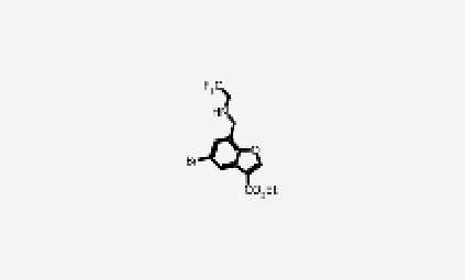 CCOC(=O)c1coc2c(CNCC(F)(F)F)cc(Br)cc12